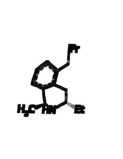 CC[C@H]1Cc2c(CC(C)C)cccc2[C@H](C)N1